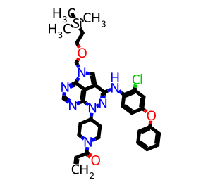 C=CC(=O)N1CCC(N2N=C(Nc3ccc(Oc4ccccc4)cc3Cl)c3cn(COCC[Si](C)(C)C)c4ncnc2c34)CC1